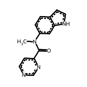 CN(C(=O)c1ccncn1)c1ccc2cc[nH]c2c1